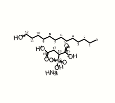 CCCCCCCCCCCCCO.O=C(O)CC(C(=O)O)S(=O)(=O)O.[NaH]